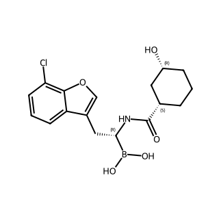 O=C(N[C@@H](Cc1coc2c(Cl)cccc12)B(O)O)[C@H]1CCC[C@@H](O)C1